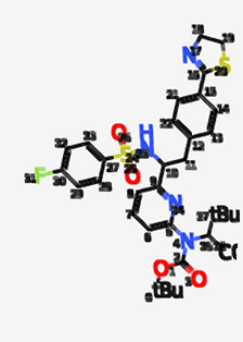 CC(C)(C)OC(=O)N(c1cccc(C(Cc2ccc(C3=NCCS3)cc2)NS(=O)(=O)c2ccc(F)cc2)n1)C(C(=O)O)C(C)(C)C